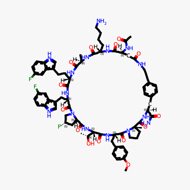 COc1ccc(C[C@@H]2NC(=O)[C@H]([C@@H](C)O)NC(=O)[C@@H]3C[C@H](F)CN3C(=O)[C@H](Cc3c[nH]c4ccc(F)cc34)NC(=O)[C@H](CCc3c[nH]c4ccc(F)cc34)NC(=O)[C@@H](C)NC(=O)[C@H](CCCCN)NC(=O)[C@@H](NC(C)=O)CC(=O)NCc3ccc(cc3)C[C@@H](C(N)=O)NC(=O)[C@]3(C)CCCN3C2=O)cc1